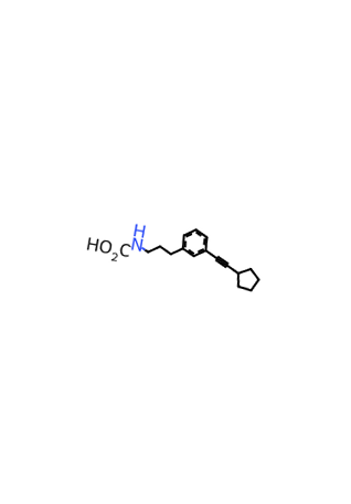 O=C(O)NCCCc1cccc(C#CC2CCCC2)c1